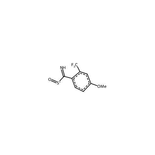 COc1ccc(C(=N)[S+]=O)c(C(F)(F)F)c1